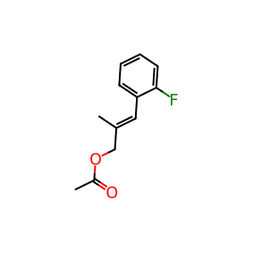 CC(=O)OC/C(C)=C/c1ccccc1F